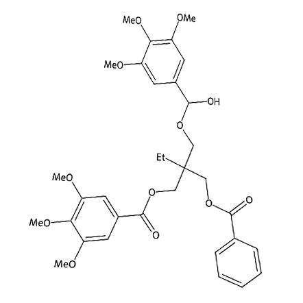 CCC(COC(=O)c1ccccc1)(COC(=O)c1cc(OC)c(OC)c(OC)c1)COC(O)c1cc(OC)c(OC)c(OC)c1